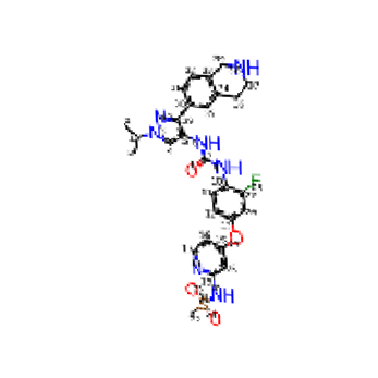 CC(C)n1cc(NC(=O)Nc2ccc(Oc3ccnc(NS(C)(=O)=O)c3)cc2F)c(-c2ccc3c(c2)CCNC3)n1